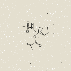 C=C(C)C(=O)OC1CC2CCC1C2CNS(C)(=O)=O